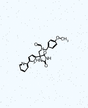 COc1ccc(CN(C=O)CC2(c3ccc(-c4ccccn4)s3)NC(=O)NC2=O)cc1